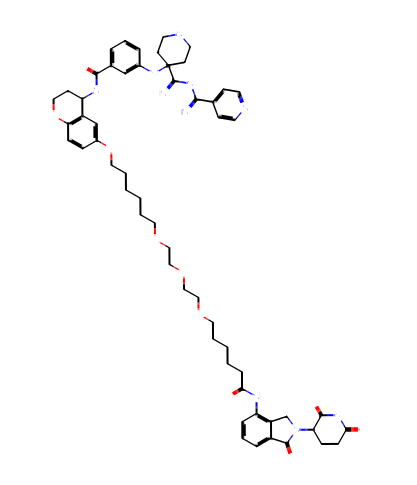 N=C(NC(=N)C1(Nc2cccc(C(=O)NC3CCOc4ccc(OCCCCCCOCCOCCOCCCCCC(=O)Nc5cccc6c5CN(C5CCC(=O)NC5=O)C6=O)cc43)c2)CCNCC1)c1ccncc1